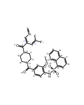 C=N/C=C(\C=C(/C)F)C(=O)N1CCN(C(=O)c2ccc(NS(=O)(=O)c3cccc4cccnc34)c(OC)c2)CC1